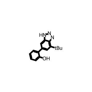 CC(C)(C)c1cc(-c2ccccc2O)cc2[nH]nnc12